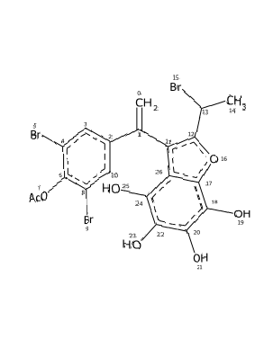 C=C(c1cc(Br)c(OC(C)=O)c(Br)c1)c1c(C(C)Br)oc2c(O)c(O)c(O)c(O)c12